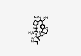 CN/C(=C(\C=N)c1ccc2c(c1)OCCN1CC(/C(=N/C(C)=N)NC(C)C)N=C21)C1CCCN(C(C)(C)C(N)=O)C1